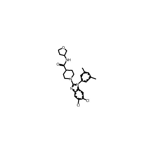 Cc1cc(C)cc(-n2c(N3CCC(C(=O)NC4CCOC4)CC3)nc3cc(Cl)c(Cl)cc32)c1